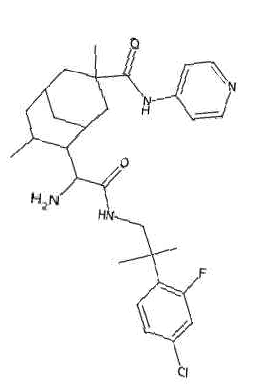 CC1CC2CC(CC(C)(C(=O)Nc3ccncc3)C2)C1C(N)C(=O)NCC(C)(C)c1ccc(Cl)cc1F